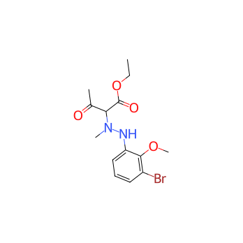 CCOC(=O)C(C(C)=O)N(C)Nc1cccc(Br)c1OC